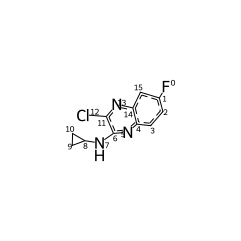 Fc1ccc2nc(NC3CC3)c(Cl)nc2c1